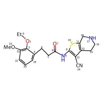 CCOc1c(CCC(=O)Nc2sc3c(c2C#N)CCNC3)cccc1OC